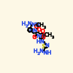 COC(=O)CCC(Cc1cccc(C(=N)N)c1)(NC(=O)OC)C(=O)NCC(=O)NCc1ncc(C(=N)N)s1